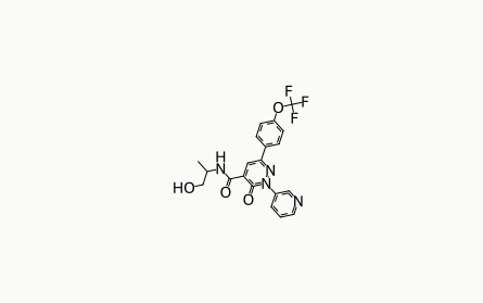 CC(CO)NC(=O)c1cc(-c2ccc(OC(F)(F)F)cc2)nn(-c2cccnc2)c1=O